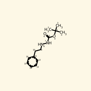 CC(C)(C)OC(=O)NNCCc1ccccc1